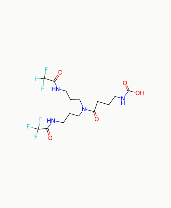 O=C(O)NCCCC(=O)N(CCCNC(=O)C(F)(F)F)CCCNC(=O)C(F)(F)F